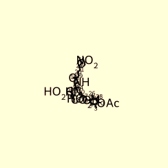 CC(=O)Oc1c(C)cc(OCC(O)CNC(C)(C)CNC(=O)CCCCO[N+](=O)[O-])c(C)c1C.O=C(O)C=CC(=O)O